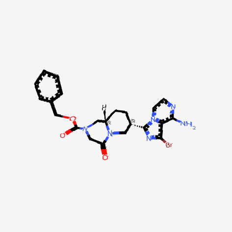 Nc1nccn2c([C@H]3CC[C@H]4CN(C(=O)OCc5ccccc5)CC(=O)N4C3)nc(Br)c12